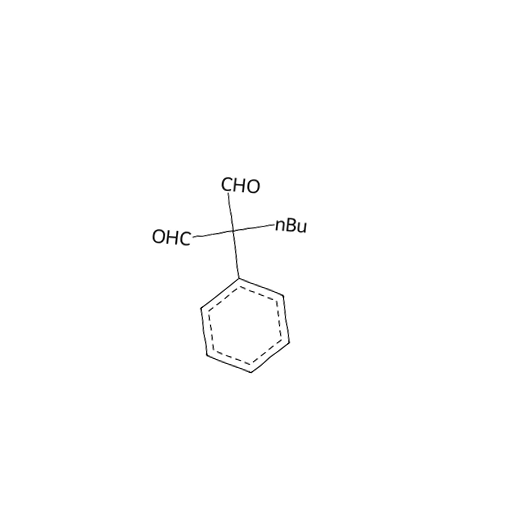 CCCCC(C=O)(C=O)c1ccccc1